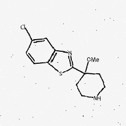 COC1(c2nc3cc(Cl)ccc3s2)CCNCC1